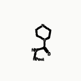 CCCCCNC(=O)N1CC[N]CC1